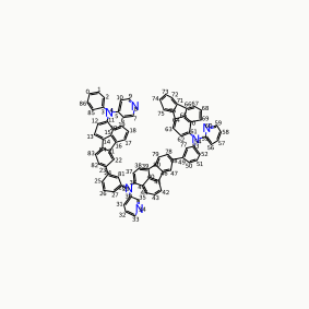 c1ccc(N(c2ccncc2)c2ccc3c4c(cccc24)-c2cc(-c4cccc(N(c5cccnc5)c5ccc6c7c(cccc57)-c5cc(-c7cccc(N(c8ccccn8)c8ccc9c%10c(cccc8%10)-c8ccccc8-9)c7)ccc5-6)c4)ccc2-3)cc1